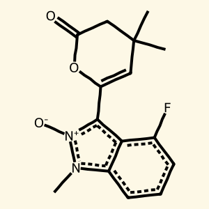 Cn1c2cccc(F)c2c(C2=CC(C)(C)CC(=O)O2)[n+]1[O-]